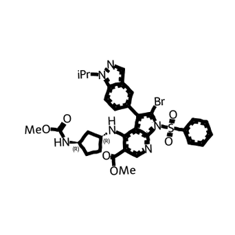 COC(=O)N[C@@H]1CC[C@@H](Nc2c(C(=O)OC)cnc3c2c(-c2ccc4c(cnn4C(C)C)c2)c(Br)n3S(=O)(=O)c2ccccc2)C1